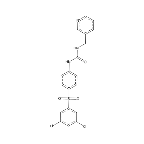 O=C(NCc1cccnc1)Nc1ccc(S(=O)(=O)c2cc(Cl)cc(Cl)c2)cc1